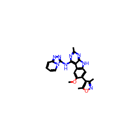 COc1cc2c(cc1-c1c(C)noc1C)[nH]c1nc(C)nc(Nc3nnc4ccccn34)c12